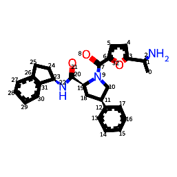 CC(N)c1ccc(C(=O)N2C[C@@H](c3ccccc3)C[C@H]2C(=O)N[C@@H]2CCc3ccccc32)o1